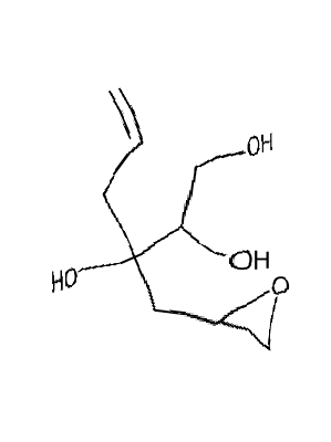 C=CCC(O)(CC1CO1)C(O)CO